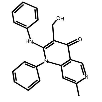 Cc1cc2c(cn1)c(=O)c(CO)c(Nc1ccccc1)n2-c1ccccc1